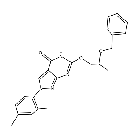 Cc1ccc(-n2cc3c(=O)[nH]c(OCC(C)OCc4ccccc4)nc3n2)c(C)c1